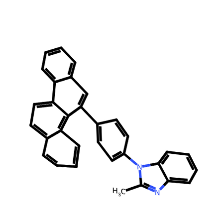 Cc1nc2ccccc2n1-c1ccc(-c2cc3ccccc3c3ccc4ccccc4c23)cc1